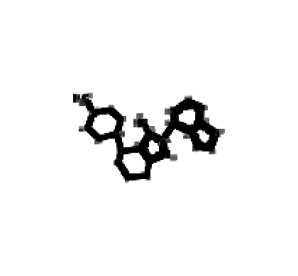 CN1CCN(C2CCCc3nn(-c4nccc5sccc45)c(O)c32)CC1